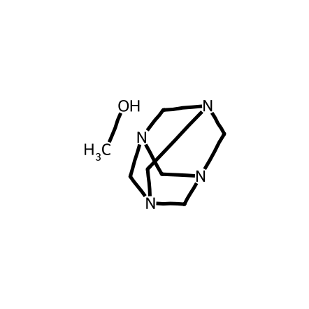 C1N2CN3CN1CN(C2)C3.CO